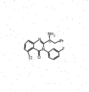 CC(C)C[C@H](N)c1nc2cccc(Cl)c2c(=O)n1-c1cccc(F)c1